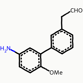 COc1ccc(N)cc1-c1cccc(CC=O)c1